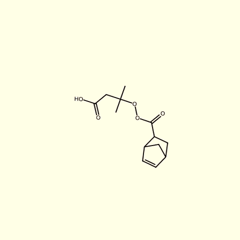 CC(C)(CC(=O)O)OOC(=O)C1CC2C=CC1C2